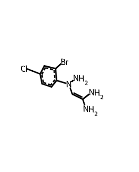 NC(N)=CN(N)c1ccc(Cl)cc1Br